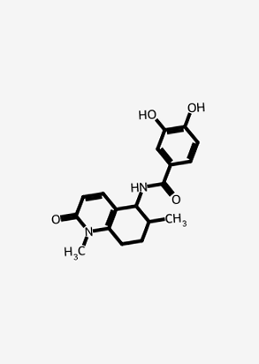 CC1CCc2c(ccc(=O)n2C)C1NC(=O)c1ccc(O)c(O)c1